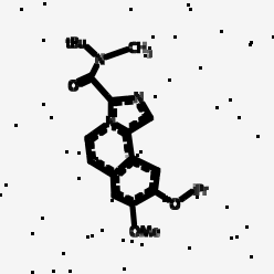 COc1cc2ccn3c(C(=O)N(C)C(C)(C)C)ncc3c2cc1OC(C)C